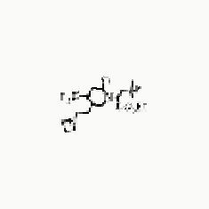 CCOC(=O)C(CC(C)(C)F)n1cc(CCN2CCC2)c(C(F)(F)F)cc1=O